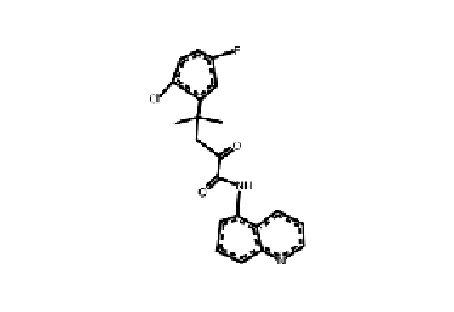 CC(C)(CC(=O)C(=O)Nc1cccc2ncccc12)c1cc(F)ccc1Cl